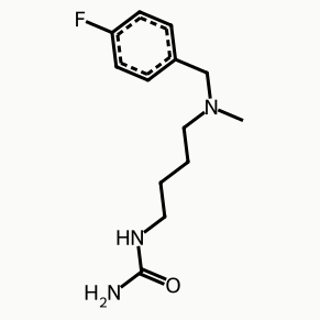 CN(CCCCNC(N)=O)Cc1ccc(F)cc1